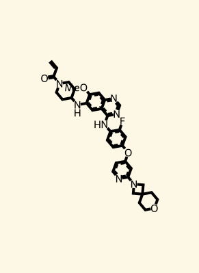 C=CC(=O)N1CCC(Nc2cc3c(Nc4ccc(Oc5ccnc(N6CC7(CCOCC7)C6)c5)cc4F)ncnc3cc2OC)CC1